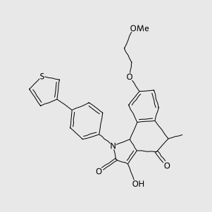 COCCOc1ccc2c(c1)C1C(=C(O)C(=O)N1c1ccc(-c3ccsc3)cc1)C(=O)C2C